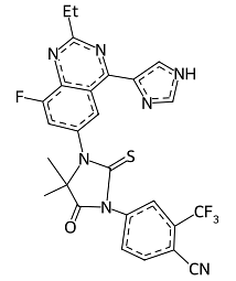 CCc1nc(-c2c[nH]cn2)c2cc(N3C(=S)N(c4ccc(C#N)c(C(F)(F)F)c4)C(=O)C3(C)C)cc(F)c2n1